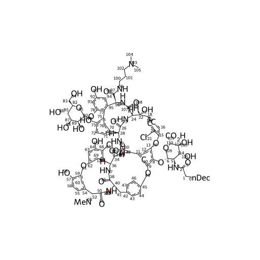 CCCCCCCCCCCC(=O)N[C@H]1[C@H](Oc2c3cc4cc2Oc2ccc(cc2Cl)[C@@H](O)[C@@H]2NC(=O)[C@H](NC(=O)[C@@H]4NC(=O)[C@H]4NC(=O)[C@@H](Cc5ccc(cc5)O3)NC(=O)[C@H](NC)c3ccc(O)c(c3)Oc3cc(O)c(Cl)c4c3)c3ccc(O)c(c3)-c3c(O[C@H]4O[C@H](CO)[C@@H](O)[C@H](O)[C@@H]4O)cc(O)cc3[C@@H](C(=O)NCCCN(C)C)NC2=O)O[C@H](C(=O)O)[C@@H](O)[C@@H]1O